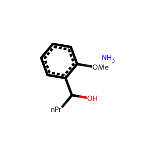 CCCC(O)c1ccccc1OC.N